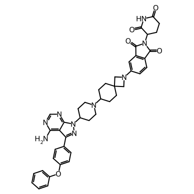 Nc1ncnc2c1c(-c1ccc(Oc3ccccc3)cc1)nn2C1CCN(C2CCC3(CC2)CN(c2ccc4c(c2)C(=O)N(C2CCC(=O)NC2=O)C4=O)C3)CC1